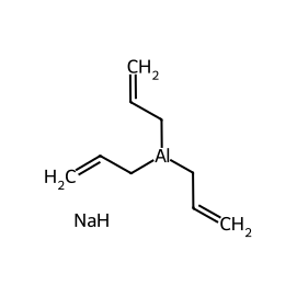 C=C[CH2][Al]([CH2]C=C)[CH2]C=C.[NaH]